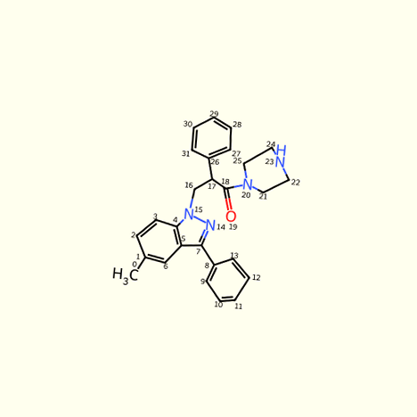 Cc1ccc2c(c1)c(-c1ccccc1)nn2CC(C(=O)N1CCNCC1)c1ccccc1